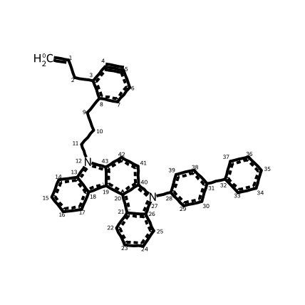 C=CCc1c#cccc1CCCn1c2ccccc2c2c3c4ccccc4n(-c4ccc(-c5ccccc5)cc4)c3ccc21